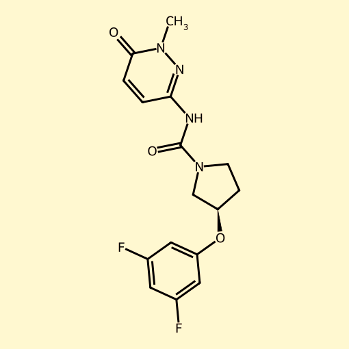 Cn1nc(NC(=O)N2CC[C@@H](Oc3cc(F)cc(F)c3)C2)ccc1=O